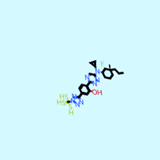 CCC[C@]1(C)CCC[C@H](N(c2cnc(-c3ccc(-c4nnn(C(S)(S)S)n4)cc3O)nn2)C2CC2)[C@@H]1F